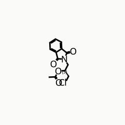 CC(=O)O[C@H](CCl)CN1C(=O)c2ccccc2C1=O